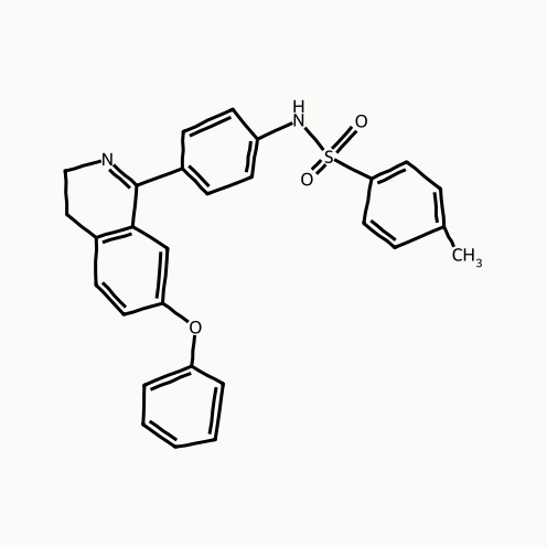 Cc1ccc(S(=O)(=O)Nc2ccc(C3=NCCc4ccc(Oc5ccccc5)cc43)cc2)cc1